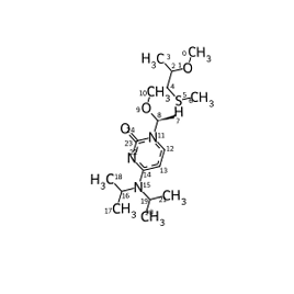 COC(C)C[SH](C)C[C@H](OC)n1ccc(N(C(C)C)C(C)C)nc1=O